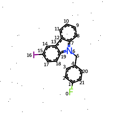 Fc1ccc(Cn2c3ccccc3c3cc(I)ccc32)cc1